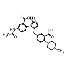 CC(=O)Nc1ccc(-n2c(C)ccc2Cc2ccc(N3CCN(C)CC3)c(C(=O)O)c2)c(C(=O)O)c1